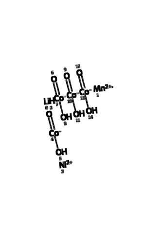 [LiH].[Mn+2].[Ni+2].[O]=[Co-][OH].[O]=[Co-][OH].[O]=[Co-][OH].[O]=[Co-][OH]